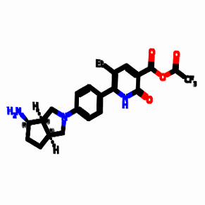 CCc1cc(C(=O)OC(=O)C(F)(F)F)c(=O)[nH]c1-c1ccc(N2C[C@H]3CC[C@@H](N)[C@H]3C2)cc1